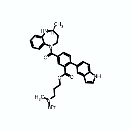 CCCN(C)CCCOC(=O)c1cc(C(=O)N2CC[C@H](C)Nc3ccccc32)ccc1-c1ccc2[nH]ccc2c1